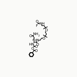 CC(C)(CCNC(=O)F)OCCC(C)(C)OCCNC(=O)[C@H](CCC(N)=O)NC(=O)OC(=O)c1ccccc1